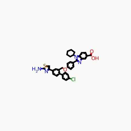 Nc1nc(-c2ccc(-c3ccc(Cl)cc3)c(COc3ccc(-c4nc5cc(C(=O)O)ccc5n4C4CCCCC4)cc3)c2)cs1